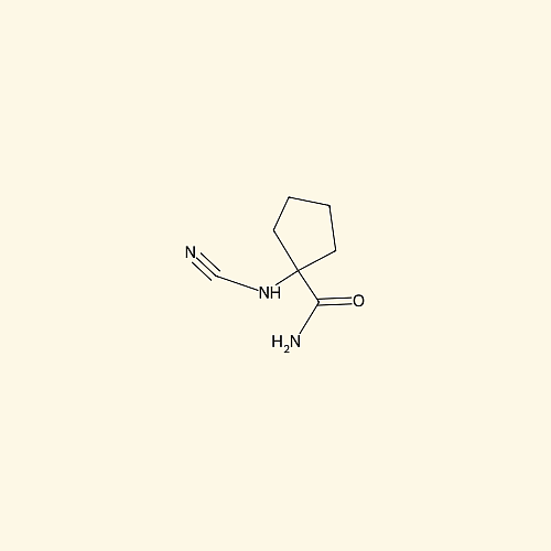 N#CNC1(C(N)=O)CCCC1